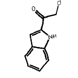 O=C(CCl)c1cc2ccccc2[nH]1